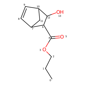 CCCOC(=O)C1C2C=CC(C2)C1O